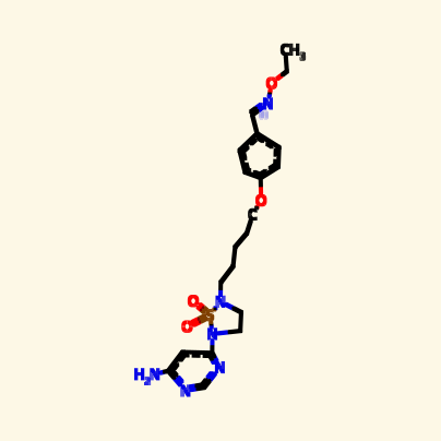 CCO/N=C/c1ccc(OCCCCCN2CCN(c3cc(N)ncn3)S2(=O)=O)cc1